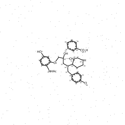 CC(=O)Nc1ccc(O)cc1OC[C@@](C)(O)CN(Cc1ccc(Cl)cc1)C1CCNCC1.O=C(O)c1ccccc1